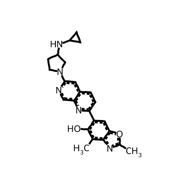 Cc1nc2c(C)c(O)c(-c3ccc4cc(N5CCC(NC6CC6)C5)ncc4n3)cc2o1